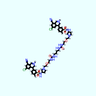 Cc1ccc(C2CN(C)Cc3c(C#N)cc(Cl)cc32)cc1S(=O)(=O)N[C@@H]1CCN(CCOCCNC(=O)NCCCCNC(=O)NCCOCCN2CC[C@@H](NS(=O)(=O)c3cc(C4CN(C)Cc5c(C#N)cc(Cl)cc54)ccc3C)C2)C1